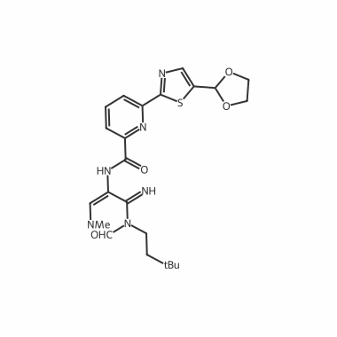 CN/C=C(/NC(=O)c1cccc(-c2ncc(C3OCCO3)s2)n1)C(=N)N(C=O)CCC(C)(C)C